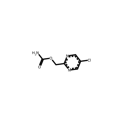 NC(=O)OCc1ncc(Cl)cn1